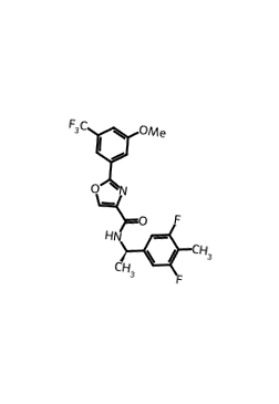 COc1cc(-c2nc(C(=O)N[C@H](C)c3cc(F)c(C)c(F)c3)co2)cc(C(F)(F)F)c1